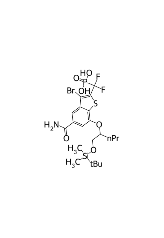 CCCC(CO[Si](C)(C)C(C)(C)C)Oc1cc(C(N)=O)cc2c(Br)c(C(F)(F)P(=O)(O)O)sc12